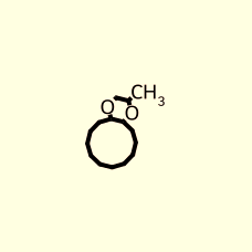 CC1COC2CCCCCCCCCCC2O1